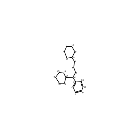 c1ccc(C(CCCC2CCCCC2)C2CCCCC2)cc1